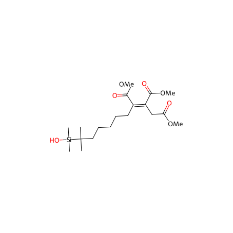 COC(=O)C/C(C(=O)OC)=C(\CCCCCC(C)(C)[Si](C)(C)O)C(=O)OC